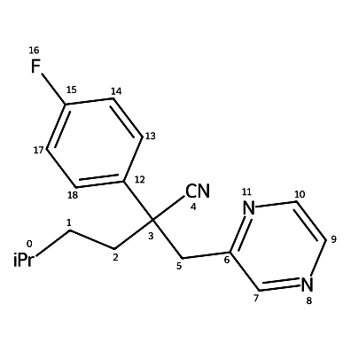 CC(C)CCC(C#N)(Cc1cnccn1)c1ccc(F)cc1